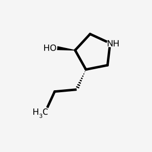 CCC[C@H]1CNC[C@@H]1O